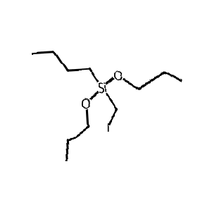 CCCC[Si](CI)(OCCC)OCCC